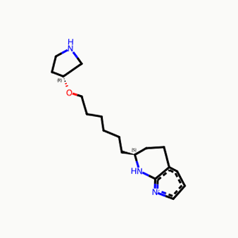 c1cnc2c(c1)CC[C@H](CCCCCCO[C@@H]1CCNC1)N2